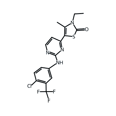 CCn1c(C)c(-c2ccnc(Nc3ccc(Cl)c(C(F)(F)F)c3)n2)sc1=O